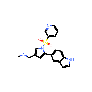 CNCc1cc(-c2ccc3[nH]ccc3c2)n(S(=O)(=O)c2cccnc2)c1